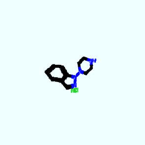 Cl.c1ccc2c(c1)cnn2N1CCNCC1